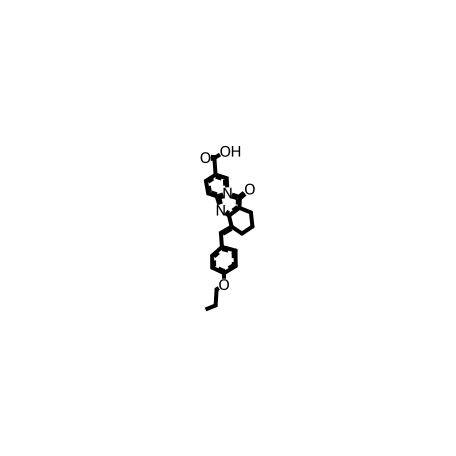 CCCOc1ccc(C=C2CCCc3c2nc2ccc(C(=O)O)cn2c3=O)cc1